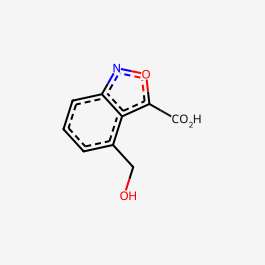 O=C(O)c1onc2cccc(CO)c12